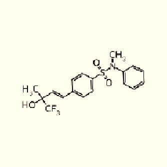 CN(c1ccccc1)S(=O)(=O)c1ccc(C=CC(C)(O)C(F)(F)F)cc1